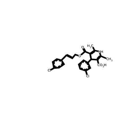 CC1=C(C(=O)O)C(c2cccc(Cl)c2)C(C(=O)OCC=Cc2ccc(Cl)cc2)=C(C)N1